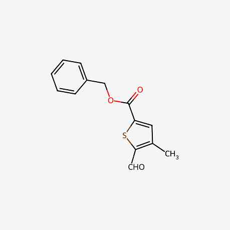 Cc1cc(C(=O)OCc2ccccc2)sc1C=O